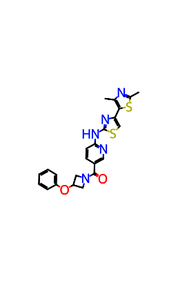 Cc1nc(C)c(-c2csc(Nc3ccc(C(=O)N4CC(Oc5ccccc5)C4)cn3)n2)s1